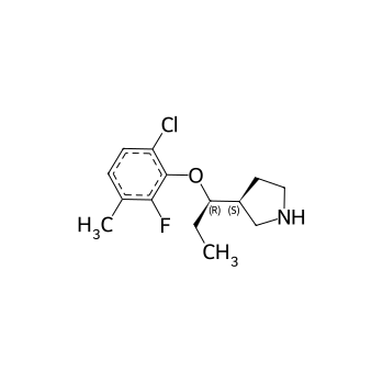 CC[C@@H](Oc1c(Cl)ccc(C)c1F)[C@H]1CCNC1